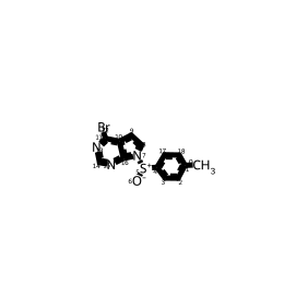 Cc1ccc([S+]([O-])n2ccc3c(Br)ncnc32)cc1